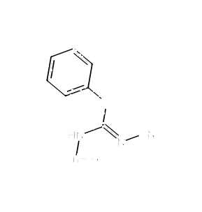 CCCCCCN/C(=N/C#N)Oc1ccccc1